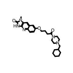 Cn1c(=O)[nH]c2nc3ccc(OCCCC(=O)N4CCN(CC5CCCCC5)CC4)cc3cc21